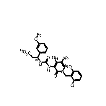 CCCc1cn(Cc2c(Cl)cccc2OC)c(=O)c(NC(=O)N[C@@H](CC(=O)O)c2cccc(OCC)c2)c1O